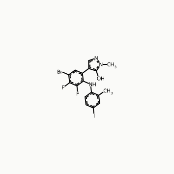 Cc1cc(I)ccc1Nc1c(-c2cnn(C)c2O)cc(Br)c(F)c1F